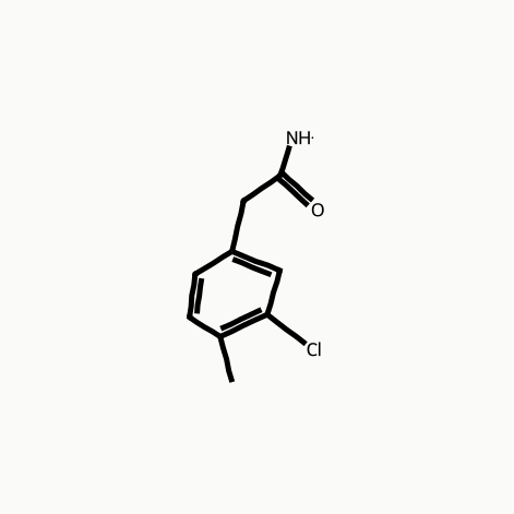 Cc1ccc(CC([NH])=O)cc1Cl